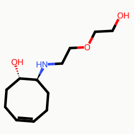 OCCOCCN[C@H]1CC/C=C\CC[C@@H]1O